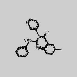 Cc1ccc2nc(Nc3ccccc3)n(-c3cccnc3)c(=O)c2c1